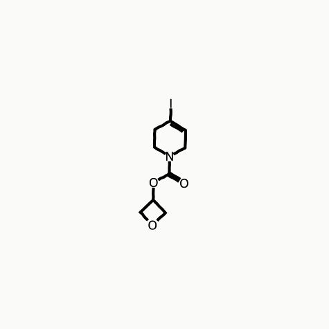 O=C(OC1COC1)N1CC=C(I)CC1